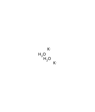 O.O.[K].[K]